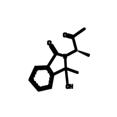 CC(=O)[C@H](C)N1C(=O)c2ccccc2C1(C)O